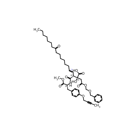 CC#CCOc1ccc(C[C@H](NC(=O)[C@@H](/C=C/CCCCCCC(=O)CCCCCCC)[C@@](O)(CC(=O)OCOCc2ccccc2)C(=O)O)C(=O)OC)cc1